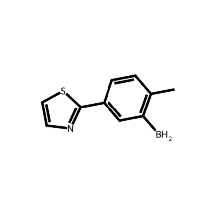 Bc1cc(-c2nccs2)ccc1C